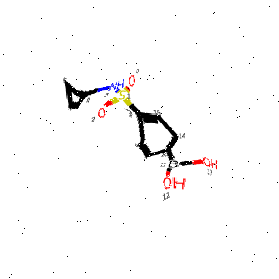 O=S(=O)(NC1CC1)c1ccc(B(O)O)cc1